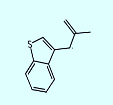 C=C(C)[CH]c1csc2ccccc12